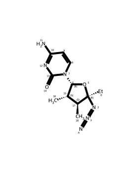 CC[C@@]1(N=[N+]=[N-])O[C@@H](n2ccc(N)nc2=O)[C@@H](C)[C@@H]1C